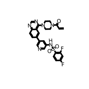 C=CC(=O)N1CCN(c2ncnc3ccc(-c4cncc(NS(=O)(=O)c5ccc(F)cc5F)c4)cc23)CC1